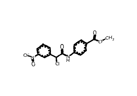 COC(=O)c1ccc(NC(=O)C(Cl)c2cccc([N+](=O)[O-])c2)cc1